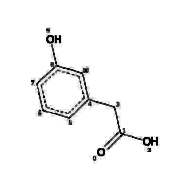 O=C(O)Cc1c[c]cc(O)c1